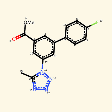 COC(=O)c1cc(-c2ccc(F)cc2)cc(-n2nnnc2C)c1